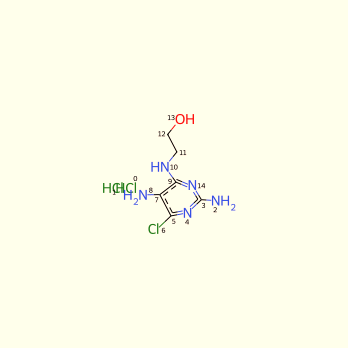 Cl.Cl.Nc1nc(Cl)c(N)c(NCCO)n1